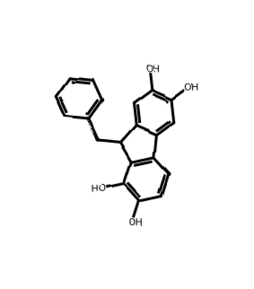 Oc1cc2c(cc1O)C(Cc1ccccc1)c1c-2ccc(O)c1O